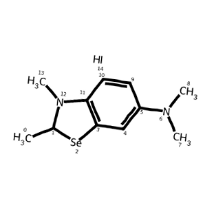 CC1[Se]c2cc(N(C)C)ccc2N1C.I